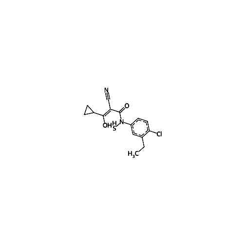 CCc1cc(N(S)C(=O)C(C#N)=C(O)C2CC2)ccc1Cl